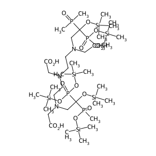 C[Si](C)(C)OC(CN(CCN(CCN(CC(=O)O)CC(O[Si](C)(C)C)(P(C)(=O)O[Si](C)(C)C)P(=O)(O[Si](C)(C)C)O[Si](C)(C)C)CC(=O)O)CC(=O)O)(P(C)(C)=O)P(C)(=O)O[Si](C)(C)C